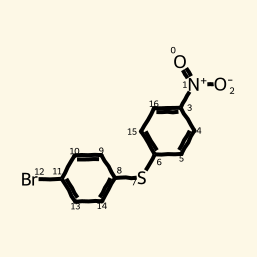 O=[N+]([O-])c1ccc(Sc2ccc(Br)cc2)cc1